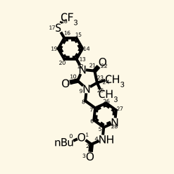 CCCCOC(=O)Nc1cc(CN2C(=O)N(c3ccc(SC(F)(F)F)cc3)C(=O)C2(C)C)ccn1